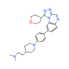 CN(C)CCC1CCN(c2ccc(-c3ccc4ncc5nnc(C6CCOCC6)n5c4c3)cc2)CC1